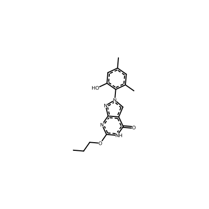 CCCOc1nc2nn(-c3c(C)cc(C)cc3O)cc2c(=O)[nH]1